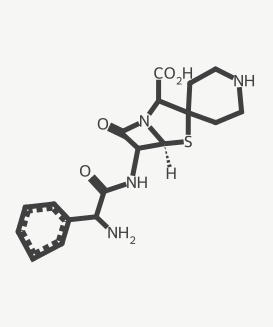 NC(C(=O)NC1C(=O)N2C(C(=O)O)C3(CCNCC3)S[C@@H]12)c1ccccc1